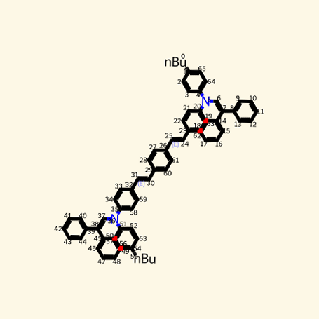 CCCCc1ccc(N(C=C(c2ccccc2)c2ccccc2)c2ccc(/C=C/c3ccc(/C=C/c4ccc(N(C=C(c5ccccc5)c5ccccc5)c5ccc(CCCC)cc5)cc4)cc3)cc2)cc1